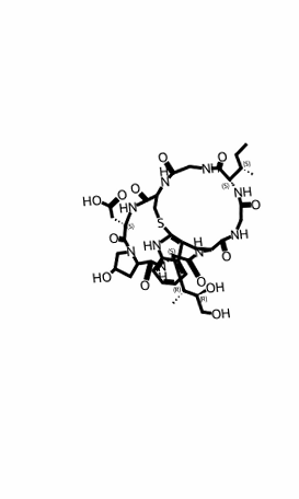 CC[C@H](C)[C@@H]1NC(=O)CNC(=O)C2Cc3c([nH]c4ccccc34)SCC(NC(=O)CNC1=O)C(=O)N[C@@H](CC(=O)O)C(=O)N1CC(O)CC1C(=O)N[C@@H]([C@@H](C)[C@@H](O)CO)C(=O)N2